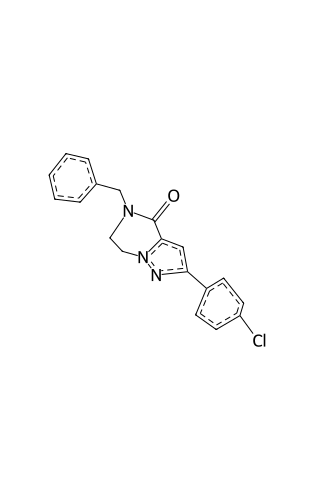 O=C1c2cc(-c3ccc(Cl)cc3)nn2CCN1Cc1ccccc1